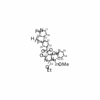 CCOCc1nc(=O)c(S(=O)(=O)c2ccc(-c3ccnc(F)c3C)c(F)c2)c(O)n1C(COC)c1ccccc1